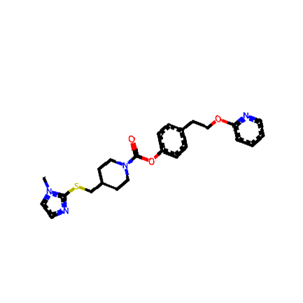 Cn1ccnc1SCC1CCN(C(=O)Oc2ccc(CCOc3ccccn3)cc2)CC1